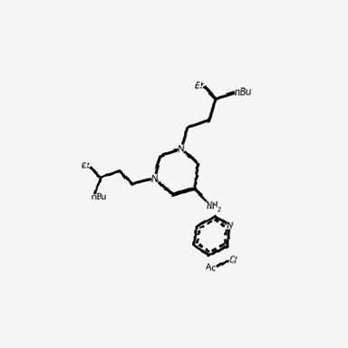 CC(=O)Cl.CCCCC(CC)CCN1CC(N)CN(CCC(CC)CCCC)C1.c1ccncc1